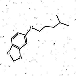 CC(C)CCCOc1ccc2c(c1)OCO2